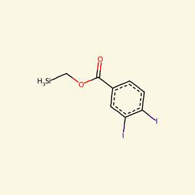 O=C(OC[SiH3])c1ccc(I)c(I)c1